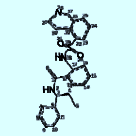 C=C(N[C@@H](CC)c1ccccc1)c1ccccc1NS(=O)(=O)c1cccc2cnccc12